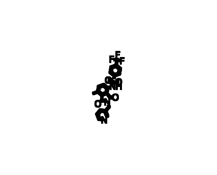 Cc1ccc(NS(=O)(=O)c2ccc(C(F)(F)F)cc2)c2c1C(=O)N(Cc1cccnc1)C2=O